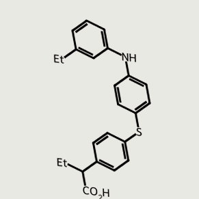 CCc1cccc(Nc2ccc(Sc3ccc(C(CC)C(=O)O)cc3)cc2)c1